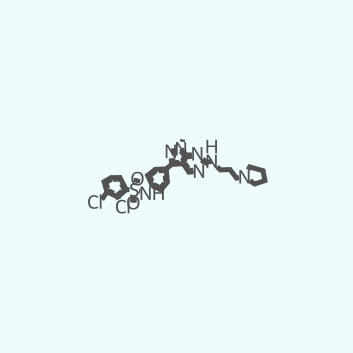 Cn1nc(-c2ccc(NS(=O)(=O)c3cccc(Cl)c3Cl)cc2)c2cnc(NCCCN3CCCC3)nc21